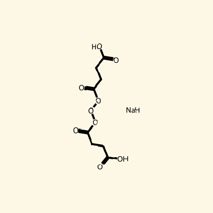 O=C(O)CCC(=O)OOOC(=O)CCC(=O)O.[NaH]